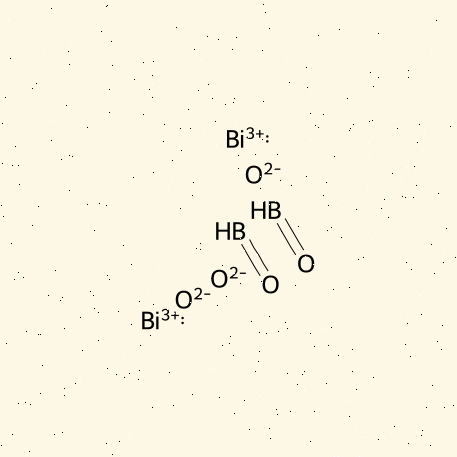 B=O.B=O.[Bi+3].[Bi+3].[O-2].[O-2].[O-2]